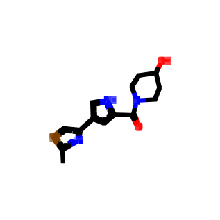 Cc1nc(-c2c[nH]c(C(=O)N3CCC(O)CC3)c2)cs1